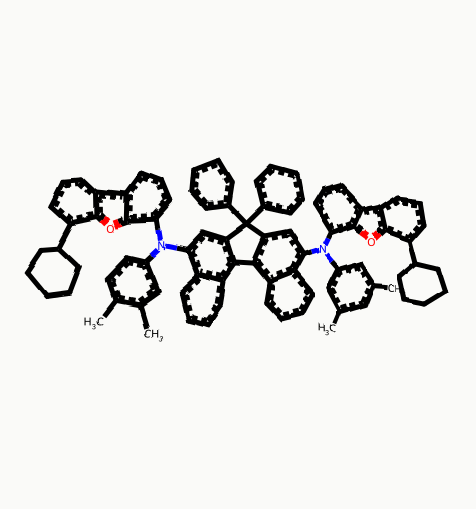 Cc1cc(C)cc(N(c2cc3c(c4ccccc24)-c2c(cc(N(c4ccc(C)c(C)c4)c4cccc5c4oc4c(C6CCCCC6)cccc45)c4ccccc24)C3(c2ccccc2)c2ccccc2)c2cccc3c2oc2c(C4CCCCC4)cccc23)c1